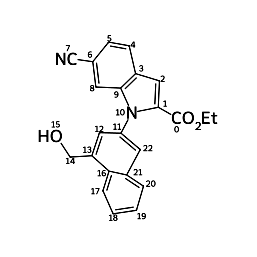 CCOC(=O)c1cc2ccc(C#N)cc2n1-c1cc(CO)c2ccccc2c1